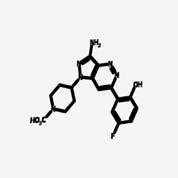 Nc1nn(C2CCN(C(=O)O)CC2)c2cc(-c3cc(F)ccc3O)nnc12